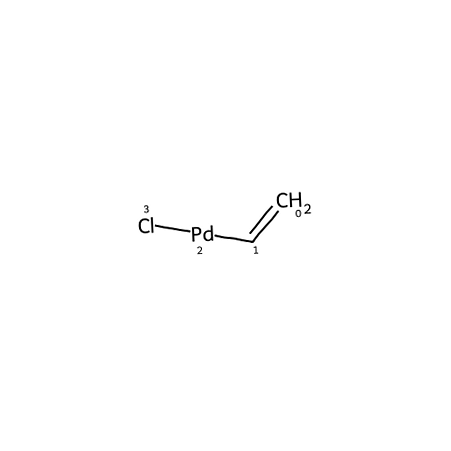 C=[CH][Pd][Cl]